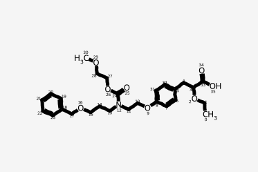 CCOC(Cc1ccc(OCCN(CCCOCc2ccccc2)C(=O)OCCOC)cc1)C(=O)O